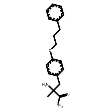 CC(N)(Cc1ccc(OCCCc2ccccc2)cc1)C(N)=O